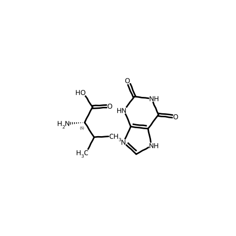 CC(C)[C@H](N)C(=O)O.O=c1[nH]c(=O)c2[nH]cnc2[nH]1